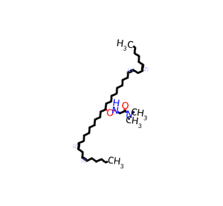 CCCCC/C=C\C/C=C\CCCCCCCCC(CCCCCCCC/C=C\C/C=C\CCCCC)ONCC(=O)N(C)C